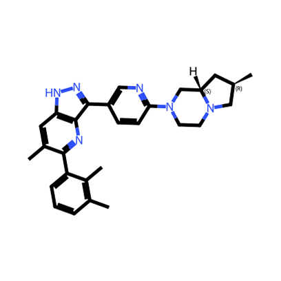 Cc1cc2[nH]nc(-c3ccc(N4CCN5C[C@H](C)C[C@H]5C4)nc3)c2nc1-c1cccc(C)c1C